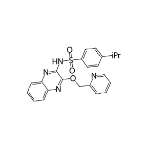 CC(C)c1ccc(S(=O)(=O)Nc2nc3ccccc3nc2OCc2ccccn2)cc1